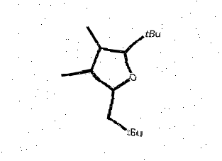 CC1C(CC(C)(C)C)OC(C(C)(C)C)C1C